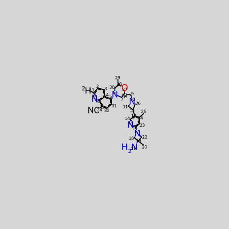 [2H]c1ccc2c(N3C[C@H](CN4CC(c5cnc(N6CC(C)(N)C6)cc5C)C4)O[C@H](C)C3)ccc(C#N)c2n1